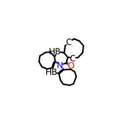 O=C1C2CCCCCCCCC2BC2CCCCCCC3=C2N1C1=C(B3)CCCCCCC1